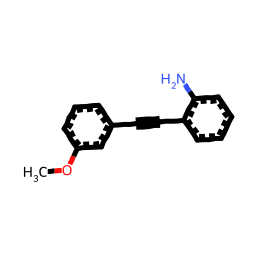 COc1cccc(C#Cc2ccccc2N)c1